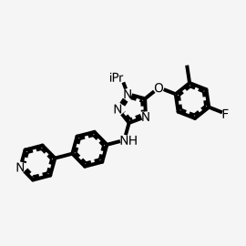 Cc1cc(F)ccc1Oc1nc(Nc2ccc(-c3ccncc3)cc2)nn1C(C)C